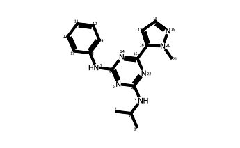 CC(C)Nc1nc(Nc2ccccc2)nc(-c2ccnn2C)n1